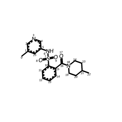 Cc1cncc(NS(=O)(=O)c2ccccc2C(=O)N2CCC(C)CC2)c1